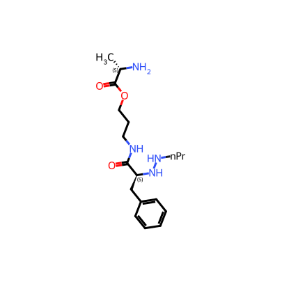 CCCNN[C@@H](Cc1ccccc1)C(=O)NCCCOC(=O)[C@H](C)N